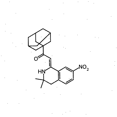 CC1(C)Cc2ccc([N+](=O)[O-])cc2/C(=C/C(=O)C23CC4CC(CC(C4)C2)C3)N1